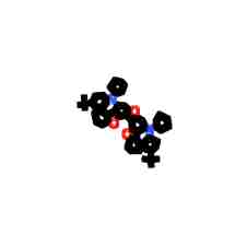 CC(C)(C)c1ccc(N(c2ccccc2)c2cc3oc4cc(N(c5ccccc5)c5ccc(C(C)(C)C)cc5)c5c6ccccc6oc5c4c3c3oc4ccccc4c23)cc1